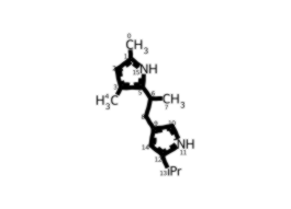 Cc1cc(C)c(C(C)Cc2c[nH]c(C(C)C)c2)[nH]1